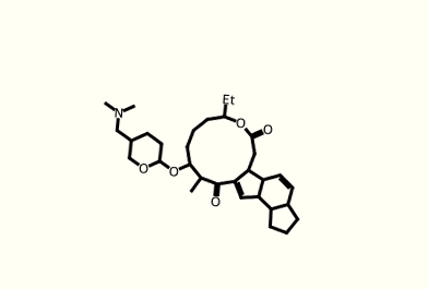 CCC1CCCC(OC2CCC(CN(C)C)CO2)C(C)C(=O)C2=CC3C(C=CC4CCCC43)C2CC(=O)O1